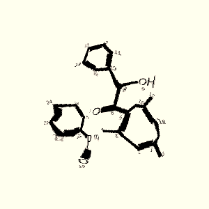 Cc1cc(C)c(C(=O)C(O)c2ccccc2)c(C)c1.O=Pc1ccccc1